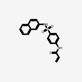 C=CC(=O)Nc1ccc(S(=O)(=O)Nc2ccc3ccccc3c2)cc1